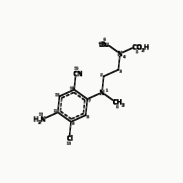 CN(CCN(C(=O)O)C(C)(C)C)c1cc(Cl)c(N)cc1C#N